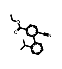 CCOC(=O)c1ccc(C#N)c(-c2ccccc2C(C)C)c1